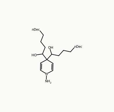 CCCCCCCCCCCCCC(O)C1(C(O)CCCCCCCCCCCCC)C=CN(N)C=C1